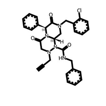 C#CCN1CC(=O)N2[C@@H](c3ccccc3)C(=O)N(Cc3ccccc3Cl)C[C@@H]2N1C(=O)NCc1ccccc1